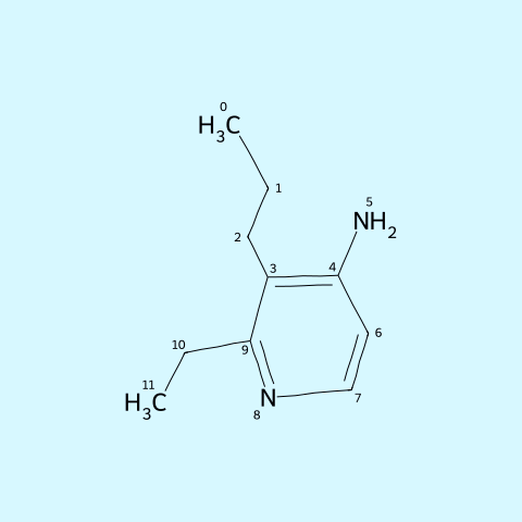 CCCc1c(N)ccnc1CC